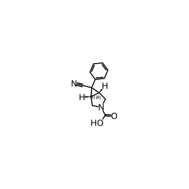 N#CC1(c2ccccc2)[C@@H]2CN(C(=O)O)C[C@@H]21